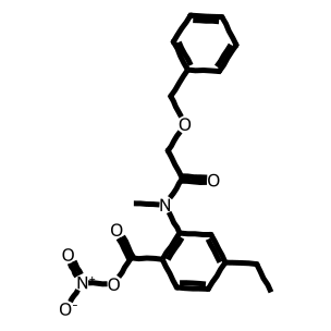 CCc1ccc(C(=O)O[N+](=O)[O-])c(N(C)C(=O)COCc2ccccc2)c1